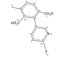 Cc1ccc(C(=O)O)c(-c2ccc(F)nc2)c1C(=O)O